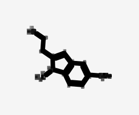 COc1ccc2c(c1)cc(CCO)n2C